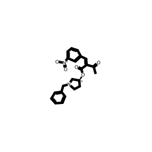 CC(=O)C(=Cc1cccc([N+](=O)[O-])c1)C(=O)O[C@H]1CCN(Cc2ccccc2)C1